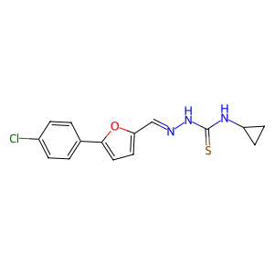 S=C(NN=Cc1ccc(-c2ccc(Cl)cc2)o1)NC1CC1